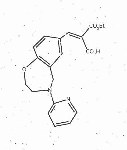 CCOC(=O)C(=Cc1ccc2c(c1)CN(c1ccccn1)CCO2)C(=O)O